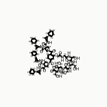 O=C(COc1cc(C(=O)N2C[C@@H](C(=O)N[C@H]3C[C@@H]3c3ccccc3)[C@H](C(=O)N[C@H]3C[C@@H]3c3ccccc3)C2)ccc1C(=O)N1C[C@@H](C(=O)N[C@H]2C[C@@H]2c2ccccc2)[C@H](C(=O)N[C@H]2C[C@@H]2c2ccccc2)C1)NCC(=O)NC(CO)C(=O)N[C@@H](CO)C(=O)N[C@@H](CO)C(=O)N[C@@H](CO)C(=O)N[C@@H](CO)C(=O)O